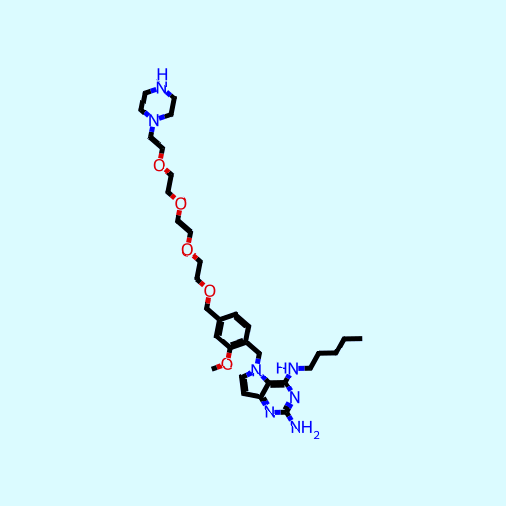 CCCCCNc1nc(N)nc2ccn(Cc3ccc(COCCOCCOCCOCCN4CCNCC4)cc3OC)c12